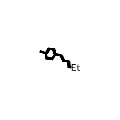 [CH2]CC=CC=Cc1ccc(C)cc1